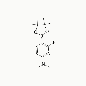 CN(C)c1ccc(B2OC(C)(C)C(C)(C)O2)c(F)n1